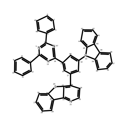 c1ccc(-c2nc(-c3ccccc3)nc(-c3cc(-c4ccnc5c4sc4ccccc45)cc(-n4c5ccccc5c5ccccc54)c3)n2)cc1